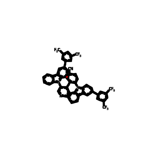 N#Cc1ccc(-n2c3ccccc3c3cc(-c4cc(C(F)(F)F)cc(C(F)(F)F)c4)ccc32)c(-c2ccncc2-n2c3ccccc3c3cc(-c4cc(C(F)(F)F)cc(C(F)(F)F)c4)ccc32)c1